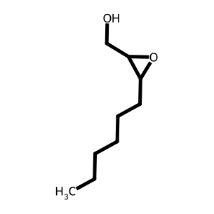 CCCCCCC1OC1CO